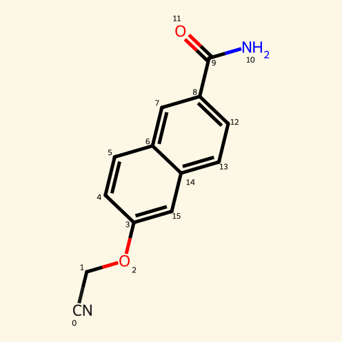 N#CCOc1ccc2cc(C(N)=O)ccc2c1